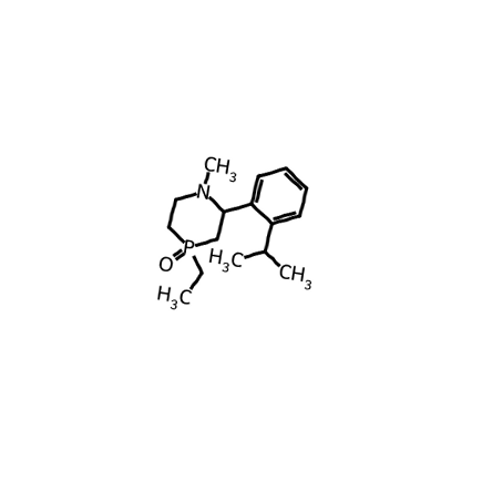 CCP1(=O)CCN(C)C(c2ccccc2C(C)C)C1